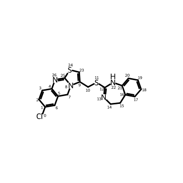 Clc1ccc2c(c1)CN1C(CSC3=NCCc4ccccc4N3)=CSC1=N2